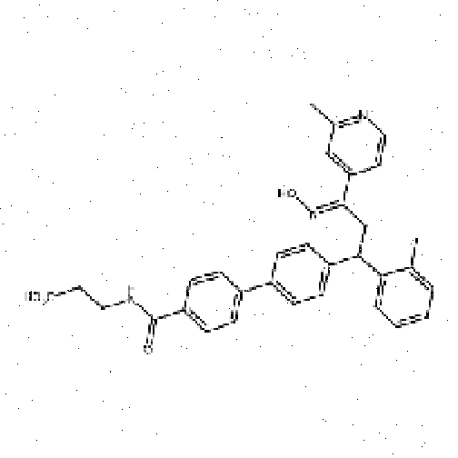 Cc1cc(C(CC(c2ccc(-c3ccc(C(=O)NCCC(=O)O)cc3)cc2)c2ccccc2C)=NO)ccn1